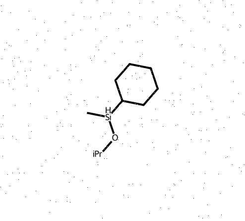 CC(C)O[SiH](C)C1CCCCC1